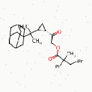 CC(C)CC(C)(C(=O)OCC(=O)[C@H]1CC1C(C)(C)C12CC3CC(CC(C3)C1)C2)C(C)C